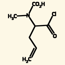 C=CCC(C(=O)Cl)N(C)C(=O)O